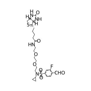 O=Cc1ccc(S(=O)(=O)N(CCOCCOCCNC(=O)CCCC[C@@H]2SC[C@@H]3NC(=O)N[C@@H]32)C2CC2)cc1F